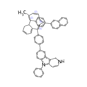 CC1=C(/c2ccc(-c3ccc4ccccc4c3)cc2)C2CC=CC=C2/C(c2ccc(-c3ccc4c(c3)c3c(n4-c4ccccc4)C=CNC3)cc2)=C/C=C/C=C\1